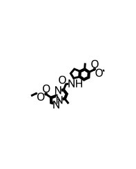 CCOC(=O)c1cnn2c(C)cc(C(=O)N[C@@H]3CCc4c3ccc(C(=O)OC)c4C)nc12